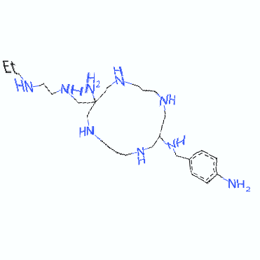 CCNCCNCC1(N)CNCCNCC(NCc2ccc(N)cc2)CNCCNC1